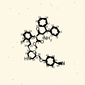 COC(=O)N(C(=O)[C@@H](N)C(c1ccccc1)c1ccccc1)c1cccc(F)c1CC[C@@H]1CNC[C@@H](COc2ccc(C#N)cc2)O1